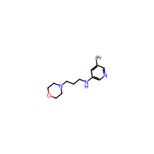 CC(C)c1cncc(NCCCN2CCOCC2)c1